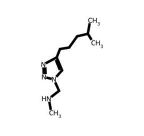 CNCn1cc(CCCC(C)C)nn1